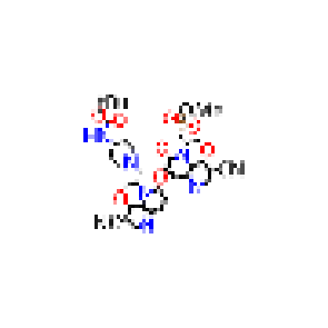 CC(C)(C)OC(=O)NC1CCN(C[C@@H]2COc3c(C#N)cnc4ccc(=O)n2c34)CC1.COS(=O)(=O)C[C@@H]1COc2c(C#N)cnc3ccc(=O)n1c23